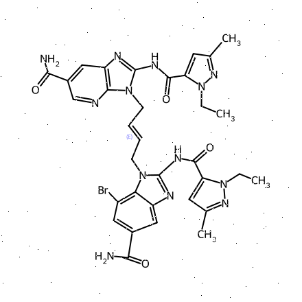 CCn1nc(C)cc1C(=O)Nc1nc2cc(C(N)=O)cnc2n1C/C=C/Cn1c(NC(=O)c2cc(C)nn2CC)nc2cc(C(N)=O)cc(Br)c21